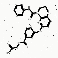 O=C(O)CNC(=O)c1cccc(Nc2ccc3c(n2)N(C(=O)Nc2ccccc2)CCO3)c1